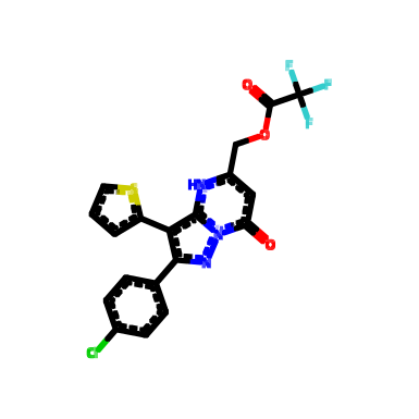 O=C(OCc1cc(=O)n2nc(-c3ccc(Cl)cc3)c(-c3cccs3)c2[nH]1)C(F)(F)F